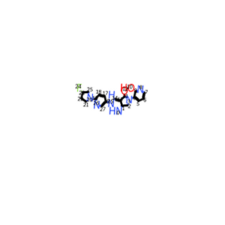 N=C1CN(c2cccnc2O)C(=O)/C1=C/Nc1ccc(N2CC[C@H](F)C2)nc1